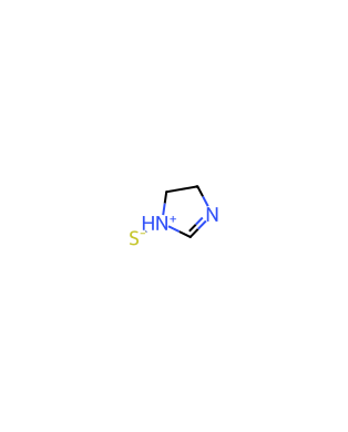 [S-][NH+]1C=NCC1